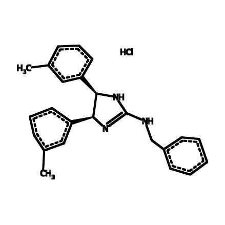 Cc1cccc([C@H]2NC(NCc3ccccc3)=N[C@H]2c2cccc(C)c2)c1.Cl